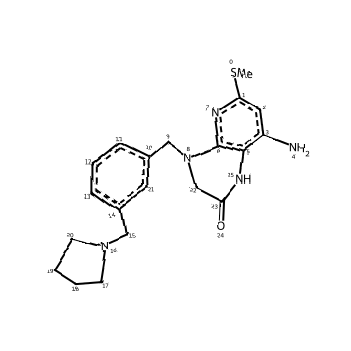 CSc1cc(N)c2c(n1)N(Cc1cccc(CN3CCCC3)c1)CC(=O)N2